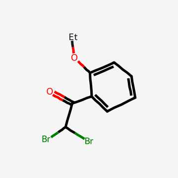 CCOc1ccccc1C(=O)C(Br)Br